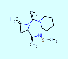 C=C(NSC)C1CC(=C)N1C(=C)N1CCCCC1